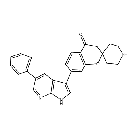 O=C1CC2(CCNCC2)Oc2cc(-c3c[nH]c4ncc(-c5ccccc5)cc34)ccc21